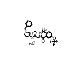 Cl.Nc1ccc(OC(F)(F)F)cc1C(=O)NCC(=O)NC1CCN(Cc2ccccc2)C1